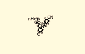 C=C(CC1=C(N=Nc2ccc(C#N)cc2)C=CC(=O)C1)C(=O)OCCCCCC